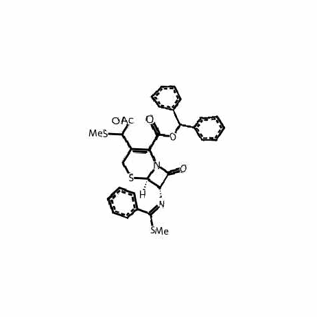 CSC(=N[C@H]1C(=O)N2C(C(=O)OC(c3ccccc3)c3ccccc3)=C(C(OC(C)=O)SC)CS[C@H]12)c1ccccc1